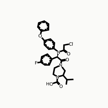 CC(C)C1CN(C(=O)[C@@H](c2ccc(F)cc2)N(C(=O)CCl)c2ccc(Oc3ccccc3)cc2)CCN1C(=O)O